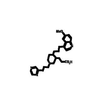 COc1ccc2nccc(CCCC3CCN(CCCc4cnccn4)CC3CCC(=O)O)c2c1